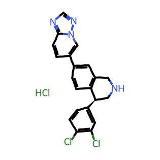 Cl.Clc1ccc([C@@H]2CNCc3cc(-c4ccc5ncnn5c4)ccc32)cc1Cl